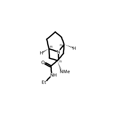 CCNC(=O)CN1[C@@H]2CCC[C@H]1C[C@H](NC)C2